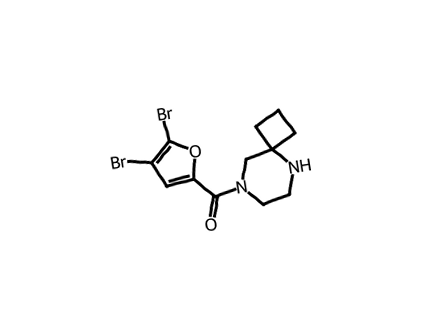 O=C(c1cc(Br)c(Br)o1)N1CCNC2(CCC2)C1